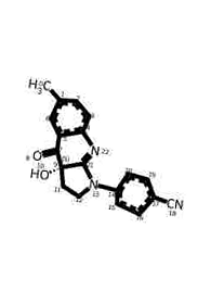 Cc1ccc2c(c1)C(=O)[C@]1(O)CCN(c3ccc(C#N)cc3)C1=N2